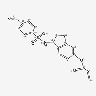 C=CC(=O)Oc1ccc2c(c1)CCC2NS(=O)(=O)c1ccc(OC)cc1